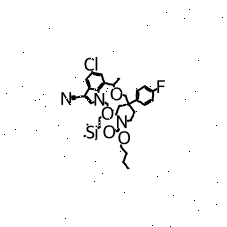 CCCCOC(=O)N1CCC(COC(C)c2cc(Cl)cc3c(C#N)cn(COCC[Si](C)(C)C)c23)(c2ccc(F)cc2)CC1